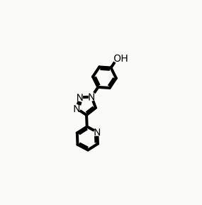 Oc1ccc(-n2cc(-c3ccccn3)nn2)cc1